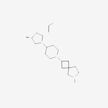 CCOC(=O)N1CCC2(CC(N3CCC(N4C[C@@H](F)C[C@@H]4CCO)CC3)C2)C1